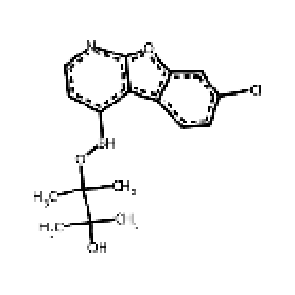 CC(C)(O)C(C)(C)OBc1ccnc2oc3cc(Cl)ccc3c12